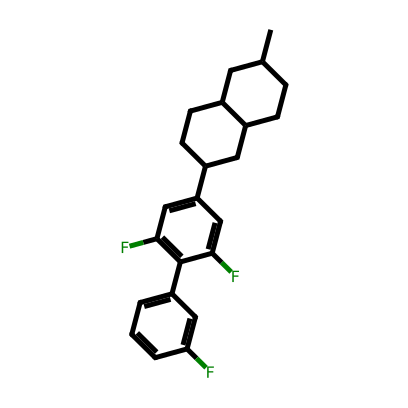 CC1CCC2CC(c3cc(F)c(-c4cccc(F)c4)c(F)c3)CCC2C1